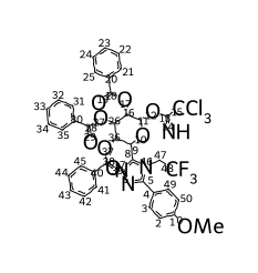 COc1ccc(-c2nnc(C3O[C@@H](OC(=N)C(Cl)(Cl)Cl)[C@@H](OC(=O)c4ccccc4)C(OC(=O)c4ccccc4)[C@@H]3OC(=O)c3ccccc3)n2CC(F)(F)F)cc1